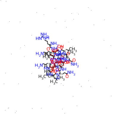 CC[C@H](NC(=O)[C@H](CC(C)C)NC(=O)[C@@H](NC(=O)[C@H](CCCCN)NC(=O)[C@@H](N)CCCNC(=N)N)C(C)C)C(=O)N[C@@H](CCC(N)=O)C(=O)N[C@@H](CC(C)C)C(=O)N[C@@H](CO)C(=O)N[C@@H](C)C(=O)N[C@@H](Cc1c[nH]cn1)C(=O)N[C@@H](CCCN)C(=O)N[C@@H](CC(C)C)C(=O)N[C@@H](CC(C)C)C(=O)N[C@@H](CCC(N)=O)C(=O)N[C@@H](CC(=O)O)C(=O)N[C@H](C(=O)O)[C@@H](C)CC